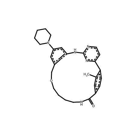 Cc1cc2ccc1-c1ccnc(n1)Nc1cc(cc(N3CCCCC3)c1)COCCCCNC2=O